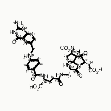 Nc1nc2ncc(CNc3ccc(C(=O)N[C@H](CCC(=O)NC[C@@H]4N[C@]56SCC(C(=O)O)[C@H]5C(=O)[C@H](CC(=O)O)N6C4=O)C(=O)O)cc3)nc2c(=O)[nH]1